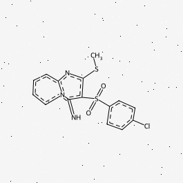 CSc1nc2ccccn2c(=N)c1S(=O)(=O)c1ccc(Cl)cc1